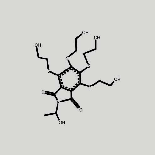 CC(O)N1C(=O)c2c(SCCO)c(SCCO)c(SCCO)c(SCCO)c2C1=O